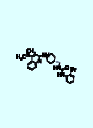 CC(C)c1ccccc1NC(=O)NC[C@H]1CC[C@@H](Nc2cc(N(C)C)c3ccccc3n2)CC1